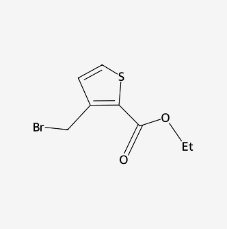 CCOC(=O)c1sccc1CBr